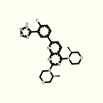 C[C@H]1COCCN1c1nc(N2CCOC[C@@H]2C)c2ccc(-c3ccc(F)c(-c4nnn[nH]4)c3)nc2n1